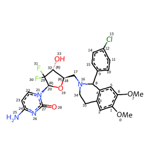 COc1cc2c(cc1OC)C(c1ccc(Cl)cc1)N(C[C@H]1O[C@@H](n3ccc(N)nc3=O)C(F)(F)[C@@H]1O)CC2